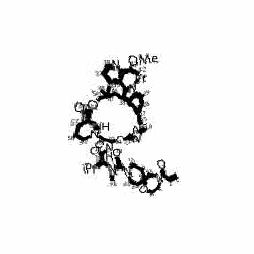 C=CC(=O)N1CCOC2(CCN(C(=O)N(C)C(C(=O)N[C@H]3Cc4nsc(n4)-c4ccc5c(c4)c(c(-c4cccnc4[C@H](C)OC)n5CC)CC(C)(C)COC(=O)[C@@H]4CCCN(N4)C3=O)C(C)C)CC2)C1